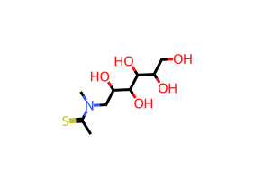 CC(=S)N(C)CC(O)C(O)C(O)C(O)CO